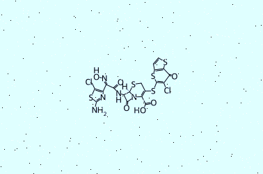 Nc1nc(/C(=N\O)C(=O)NC2C(=O)N3C(C(=O)O)=C(Sc4sc5ccsc5c(=O)c4Cl)CS[C@H]23)c(Cl)s1